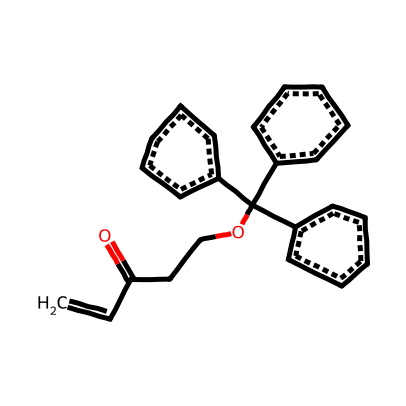 C=CC(=O)CCOC(c1ccccc1)(c1ccccc1)c1ccccc1